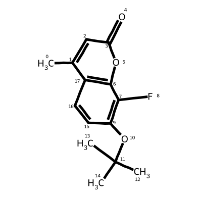 Cc1cc(=O)oc2c(F)c(OC(C)(C)C)ccc12